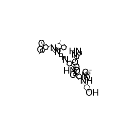 COc1cc(CN2CCN(C3CC4(C3)CN(c3ccc(C(=O)NS(=O)(=O)c5ccc(NC[C@H]6CC[C@](C)(O)CC6)c([N+](=O)[O-])c5)c(Oc5cnc6[nH]ccc6c5)c3)C4)[C@H](c3ccccc3C(C)C)C2)cc2cc(C)oc12